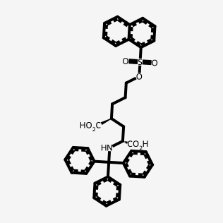 O=C(O)[C@@H](CCCOS(=O)(=O)c1cccc2ccccc12)C[C@@H](NC(c1ccccc1)(c1ccccc1)c1ccccc1)C(=O)O